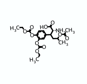 CCOC(=O)Oc1ccc(C(CC(C)OC(C)=O)[C@@H](N)C(=O)O)cc1OC(=O)OCC